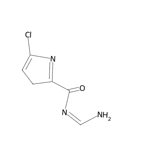 N/C=N\C(=O)C1=NC(Cl)=CC1